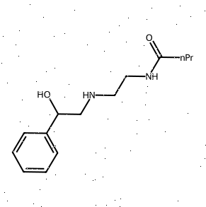 CCCC(=O)NCCNCC(O)c1ccccc1